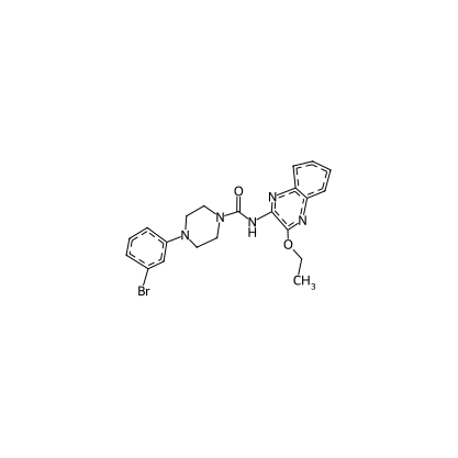 CCOc1nc2ccccc2nc1NC(=O)N1CCN(c2cccc(Br)c2)CC1